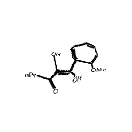 CCCC(=O)C(O)=C(O)c1ccccc1OC